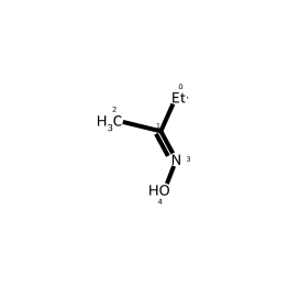 C[CH]C(C)=NO